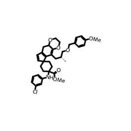 COC(=O)C1(Nc2cccc(Cl)c2)CCC2(C=CC3=C2C(C[C@@H](C)COCc2ccc(OC)cc2)=C2OCCOC2C3)CC1